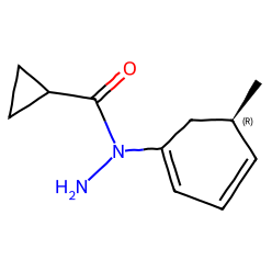 C[C@H]1C=CC=C(N(N)C(=O)C2CC2)C1